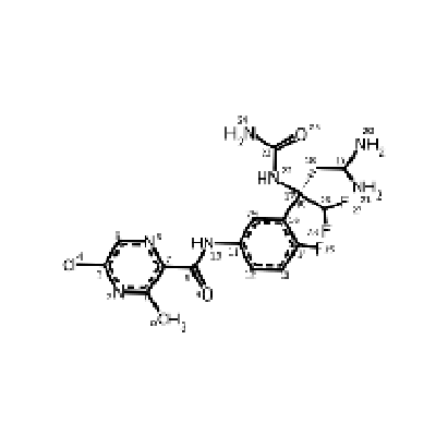 Cc1nc(Cl)cnc1C(=O)Nc1ccc(F)c([C@@](CC(N)N)(NC(N)=O)C(F)F)c1